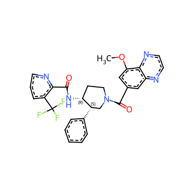 COc1cc(C(=O)N2CC[C@@H](NC(=O)c3ncccc3C(F)(F)F)[C@@H](c3ccccc3)C2)cc2nccnc12